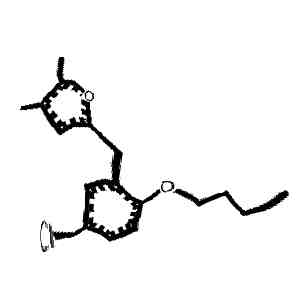 CCCCOc1ccc(Cl)cc1Cc1cc(C)c(C)o1